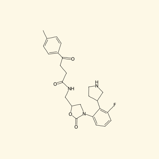 Cc1ccc(C(=O)CCC(=O)NCC2CN(c3cccc(F)c3C3CCNC3)C(=O)O2)cc1